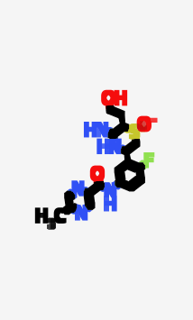 Cc1cnc(C(=O)Nc2ccc(F)c([C@@H]3C[S+]([O-])[C@H](CCO)C(=N)N3)c2)cn1